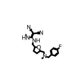 CNC(NCC1CCC(CN(C)Cc2ccc(F)cc2)O1)=C(C#N)C#N